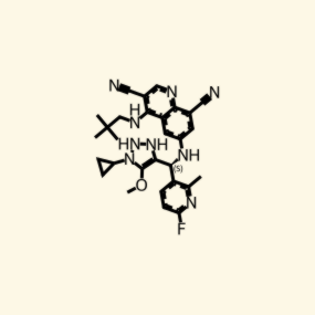 COC1=C([C@@H](Nc2cc(C#N)c3ncc(C#N)c(NCC(C)(C)C)c3c2)c2ccc(F)nc2C)NNN1C1CC1